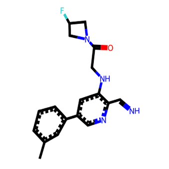 Cc1cccc(-c2cnc(C=N)c(NCC(=O)N3CC(F)C3)c2)c1